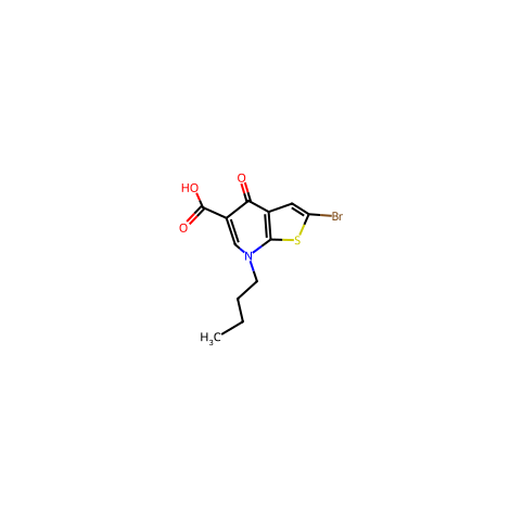 CCCCn1cc(C(=O)O)c(=O)c2cc(Br)sc21